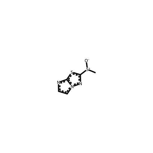 C[S+]([O-])c1nn2ccnc2s1